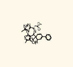 COC(=O)C[C@@H]1N=C(C2(C(=O)O)C=CC(c3ccccc3)=CC2F)c2c(sc(C)c2C)-n2c(C)nnc21